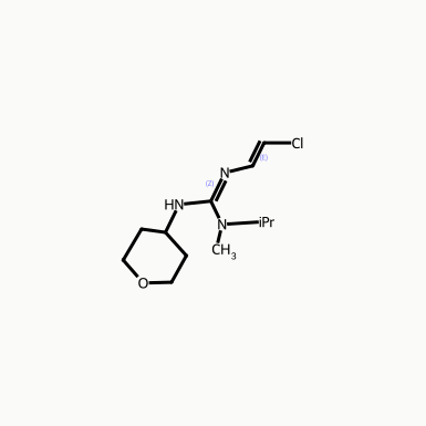 CC(C)N(C)/C(=N\C=C\Cl)NC1CCOCC1